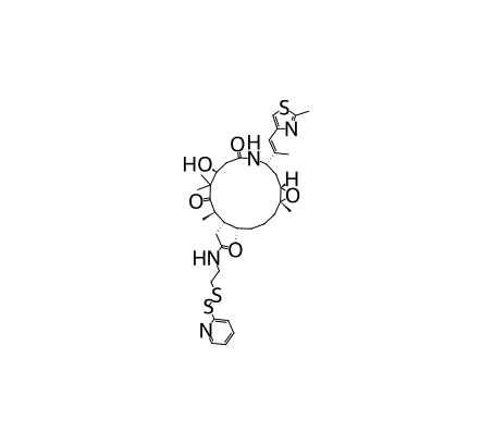 C/C(=C\c1csc(C)n1)[C@@H]1C[C@@H]2O[C@]2(C)CCC[C@H](C)[C@H](CC(=O)NCCSSc2ccccn2)[C@@H](C)C(=O)C(C)(C)[C@@H](O)CC(=O)N1